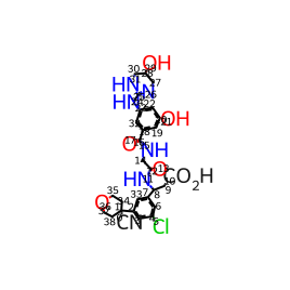 N#CC1(c2cc(Cl)cc(C(CC(=O)O)NC(=O)CNC(=O)c3cc(O)cc(NC4=NCC(O)CN4)c3)c2)CCOCC1